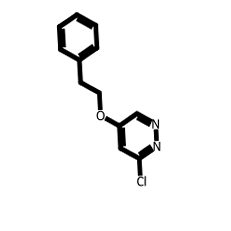 Clc1cc(OCCc2ccccc2)cnn1